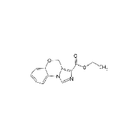 CCOC(=O)c1ncn2c1COc1ccccc1-2